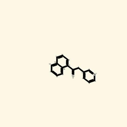 O=C(Cc1cccnc1)c1cccc2ccccc12